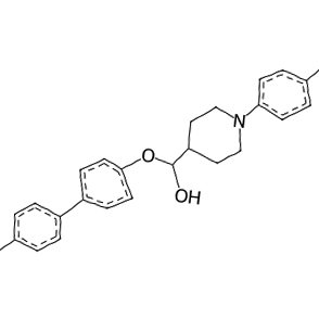 Cc1ccc(-c2ccc(OC(O)C3CCN(c4ccc(C)cc4)CC3)cc2)cc1